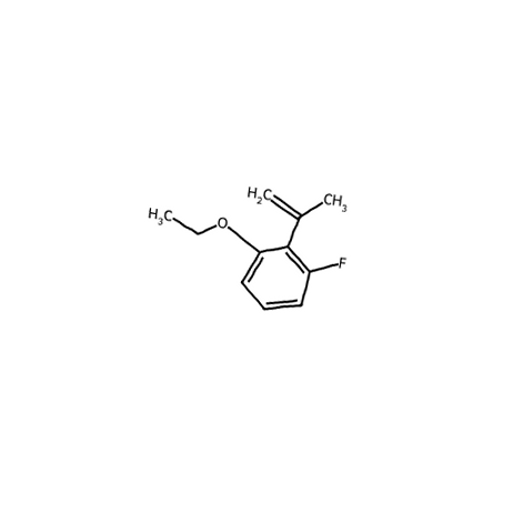 C=C(C)c1c(F)cccc1OCC